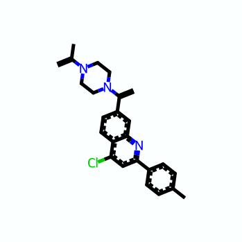 C=C(C)N1CCN(C(=C)c2ccc3c(Cl)cc(-c4ccc(C)cc4)nc3c2)CC1